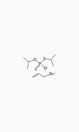 C=C[CH2][Zn+].CC(C)OP([O-])(=S)SC(C)C